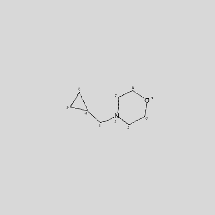 C1CN(CC2CC2)CCO1